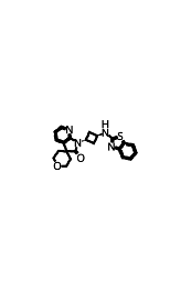 O=C1N([C@H]2C[C@H](Nc3nc4ccccc4s3)C2)c2ncccc2C12CCOCC2